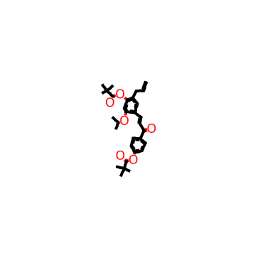 C=CCc1cc(C=CC(=O)c2ccc(OC(=O)C(C)(C)C)cc2)c(OC(C)C)cc1OC(=O)C(C)(C)C